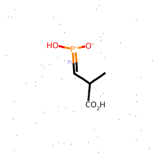 CC(/C=[P+](\[O-])O)C(=O)O